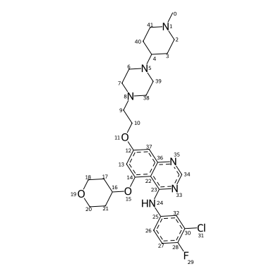 CN1CCC(N2CCN(CCOc3cc(OC4CCOCC4)c4c(Nc5ccc(F)c(Cl)c5)ncnc4c3)CC2)CC1